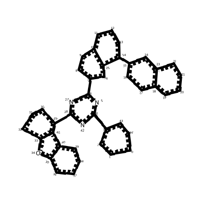 c1ccc(-c2nc(-c3ccc4cccc(-c5ccc6ccccc6c5)c4c3)nc(-c3cccc4oc5ccccc5c34)n2)cc1